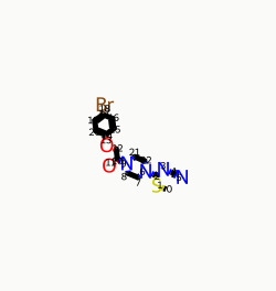 CS/C(=N\C#N)N1CCN(C(=O)COc2ccc(Br)cc2)CC1